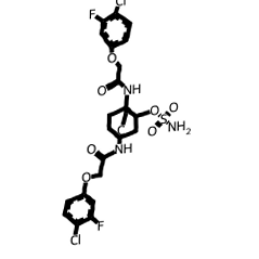 NS(=O)(=O)OC1CC2(NC(=O)COc3ccc(Cl)c(F)c3)CCC1(NC(=O)COc1ccc(Cl)c(F)c1)CC2